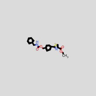 CCOC(=O)c1csc(-c2ccc(COC(=O)NCc3ccccc3)cc2)n1